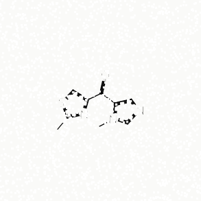 Cc1nc(C(=O)c2cncn2C)cs1